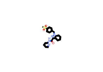 CS(=O)(=O)c1ccc(Cn2nc(C(=O)Nc3ccccn3)c3ccccc32)cc1